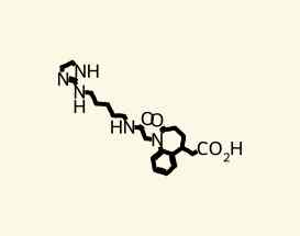 O=C(O)CC1CCC(=O)N(CC(=O)NCCCCCNC2=NCCN2)c2ccccc21